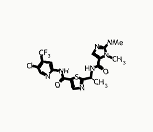 CNc1ncc(C(=O)N[C@H](C)c2ncc(C(=O)Nc3cc(C(F)(F)F)c(Cl)cn3)s2)n1C